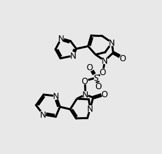 O=C1N2CC=C(c3cnccn3)C(C2)N1OS(=O)(=O)ON1C(=O)N2CC=C(c3cnccn3)C1C2